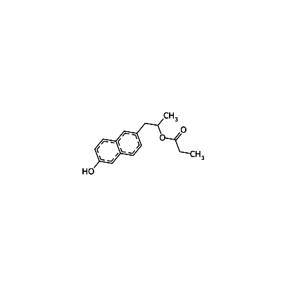 CCC(=O)OC(C)Cc1ccc2cc(O)ccc2c1